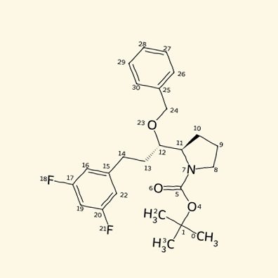 CC(C)(C)OC(=O)N1CCC[C@@H]1[C@H](CCc1cc(F)cc(F)c1)OCc1ccccc1